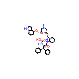 O=C(O)N[C@H](C(=O)Nc1ccccc1CC[C@@H]1CNC[C@@H](COc2cccc3[nH]ccc23)O1)C(c1ccccc1)c1ccccc1